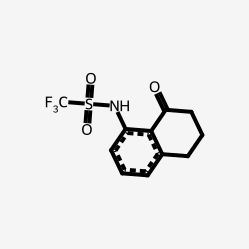 O=C1CCCc2cccc(NS(=O)(=O)C(F)(F)F)c21